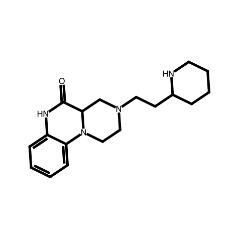 O=C1Nc2ccccc2N2CCN(CCC3CCCCN3)CC12